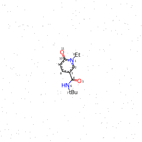 CCn1cc(C(=O)NC(C)(C)C)ccc1=O